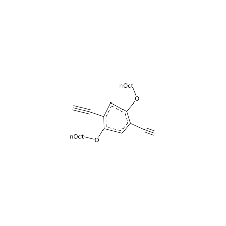 C#Cc1cc(OCCCCCCCC)c(C#C)cc1OCCCCCCCC